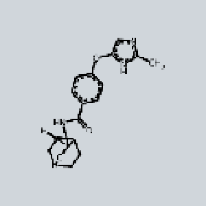 Cc1ncc(Oc2ccc(C(=O)N[C@H]3CN4CCC3CC4)cc2)[nH]1